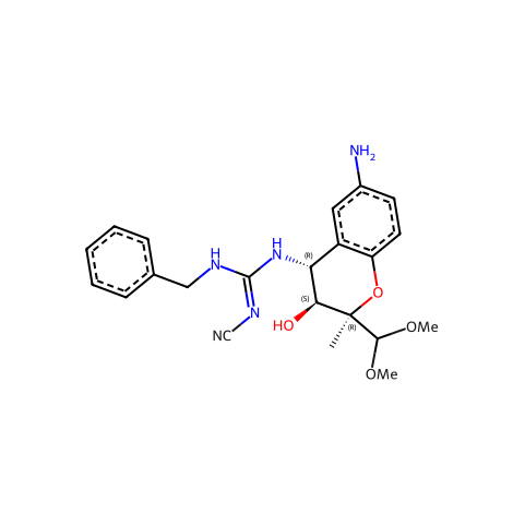 COC(OC)[C@]1(C)Oc2ccc(N)cc2[C@@H](NC(=NC#N)NCc2ccccc2)[C@@H]1O